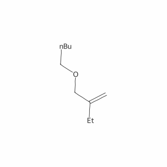 C=C(CC)COCCCCC